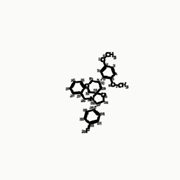 COc1ccc(OC)c([C@H]2COCC3(C2)OC[C@H](c2ccc(F)cc2)N3Cc2ccccc2)c1